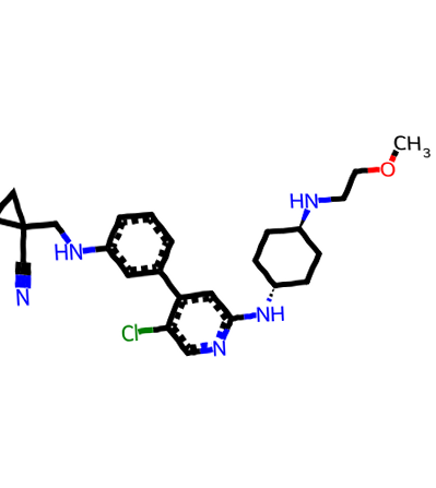 COCCN[C@H]1CC[C@H](Nc2cc(-c3cccc(NCC4(C#N)CC4)c3)c(Cl)cn2)CC1